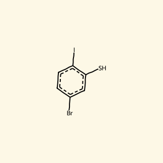 Sc1cc(Br)ccc1I